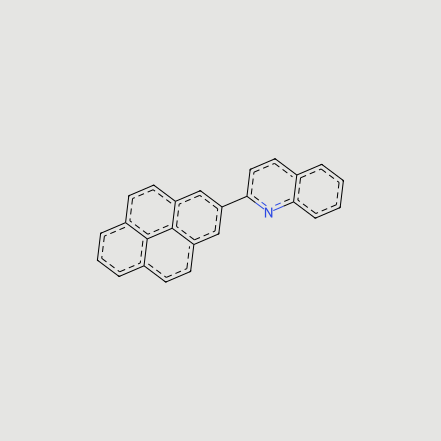 c1ccc2nc(-c3cc4ccc5cccc6ccc(c3)c4c56)ccc2c1